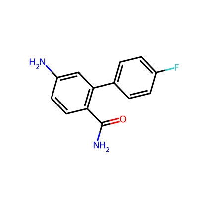 NC(=O)c1ccc(N)cc1-c1ccc(F)cc1